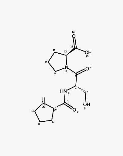 O=C(N[C@@H](CO)C(=O)N1CCC[C@H]1C(=O)O)[C@@H]1CCCN1